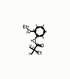 CCOc1ccccc1OC(=O)C(C)(C)CC